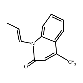 CC=Cn1c(=O)cc(C(F)(F)F)c2ccccc21